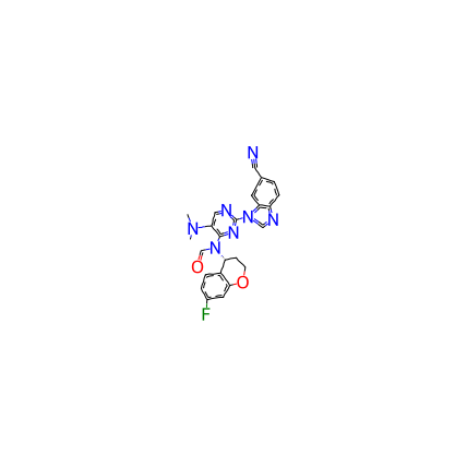 CN(C)c1cnc(-n2cnc3ccc(C#N)cc32)nc1N(C=O)[C@@H]1CCOc2cc(F)ccc21